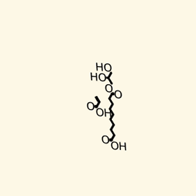 C=CC(=O)O.O=C(O)CCCCCCCCC(=O)OCC(O)CO